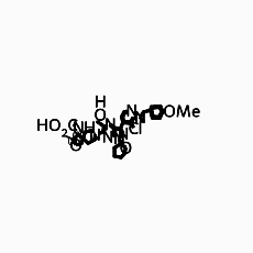 COc1ccc(CN(C)c2nccc(-c3nn(C4CCCCO4)c4nc(N5CCC6(CC5)CO[C@@H](C)[C@H]6NC(=O)O)c(CO)nc34)c2Cl)cc1